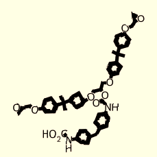 CC(C)(c1ccc(OCC2CO2)cc1)c1ccc(OCC(COc2ccc(C(C)(C)c3ccc(OCC4CO4)cc3)cc2)OC(=O)Nc2ccc(Cc3ccc(NC(=O)O)cc3)cc2)cc1